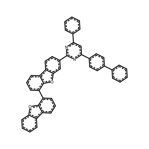 c1ccc(-c2ccc(-c3cc(-c4ccccc4)nc(-c4ccc5c(c4)oc4c(-c6cccc7c6oc6ccccc67)cccc45)n3)cc2)cc1